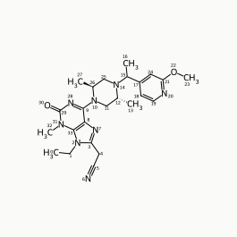 CCn1c(CC#N)nc2c(N3C[C@@H](C)N(C(C)c4ccnc(OC)c4)C[C@@H]3C)nc(=O)n(C)c21